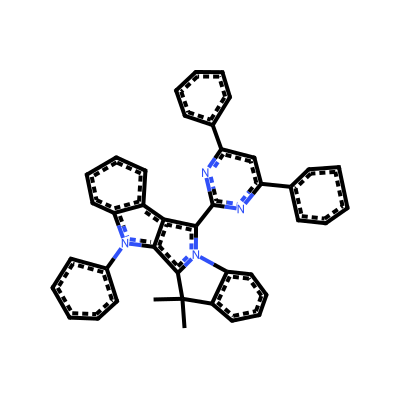 CC1(C)c2ccccc2-n2c(-c3nc(-c4ccccc4)cc(-c4ccccc4)n3)c3c4ccccc4n(-c4ccccc4)c3c21